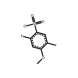 COc1cc(F)c(S(=O)(=O)Cl)cc1F